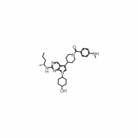 CCC[C@H](C)Nc1ncc2c(C3CCN(C(=O)c4ccc(NC)cc4)CC3)cn(C3CCC(O)CC3)c2n1